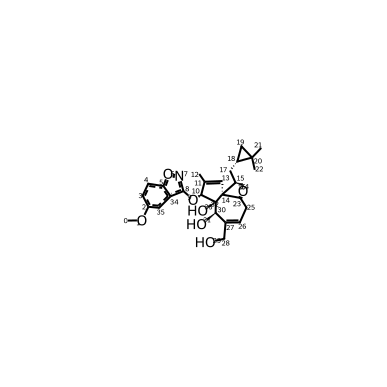 COc1ccc2onc(O[C@H]3C(C)=C[C@]4([C@H](C)C[C@@H]5CC5(C)C)C(=O)CC=C(CO)[C@@H](O)[C@]34O)c2c1